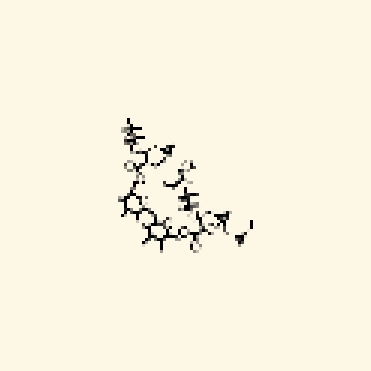 CC[C@@H]1C[C@@H]1C[C@@H]1C[C@@H]1C[C@@H](O[Si](C)(C)C(C)(C)C)[C@@H](CC)C(=O)OCC1OC(CC2OC(COC(=O)[C@H](CC)[C@@H](C[C@@H]3C[C@@H]3C[C@H](OC)[C@@H](C)CC)O[Si](C)(C)C(C)(C)C)C(C)C(C)C2C)C(C)C(C)C1C